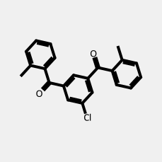 Cc1ccccc1C(=O)c1cc(Cl)cc(C(=O)c2ccccc2C)c1